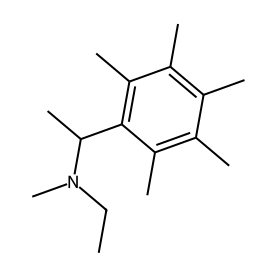 CCN(C)C(C)c1c(C)c(C)c(C)c(C)c1C